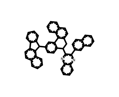 c1ccc2c(c1)-c1ccc3ccccc3c1C2c1ccc2c(c1)-c1c(ccc3ccccc13)CC2c1nc2ccccc2nc1-c1ccc2ccccc2c1